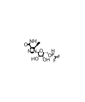 C#Cc1c(C(N)=O)ncn1[C@@H]1O[C@H](COPC(F)F)[C@@H](O)[C@H]1O